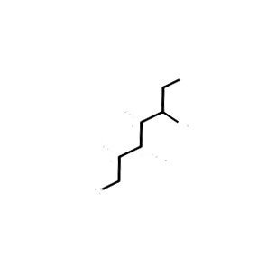 NC[C@H](O)[C@@H](O)[C@H](O)C(O)CO